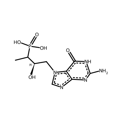 CC([C@H](O)Cn1cnc2nc(N)[nH]c(=O)c21)P(=O)(O)O